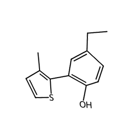 CCc1ccc(O)c(-c2sccc2C)c1